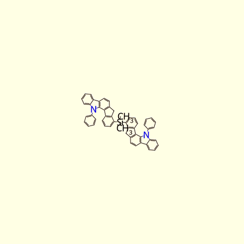 C[Si](C)(c1cccc2c1Cc1ccc3c4ccccc4n(-c4ccccc4)c3c1-2)c1cccc2c1Cc1ccc3c4ccccc4n(-c4ccccc4)c3c1-2